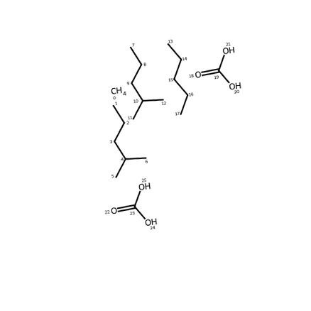 C.CCCC(C)C.CCCC(C)C.CCCCC.O=C(O)O.O=C(O)O